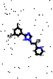 Cc1cc(-c2ncn(/C=C(\C#N)c3ccccn3)n2)cc(C(F)(F)F)c1